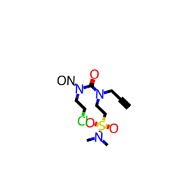 C#CCN(CCS(=O)(=O)N(C)C)C(=O)N(CCCl)N=O